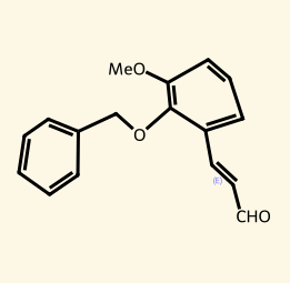 COc1cccc(/C=C/C=O)c1OCc1ccccc1